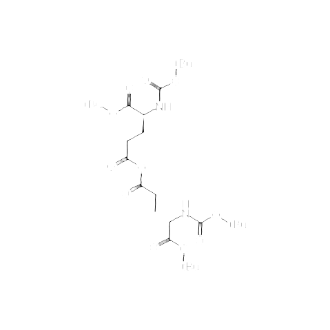 CC(C)(C)OC(=O)N[C@@H](CCC(=O)OC(=O)CC[C@H](NC(=O)OC(C)(C)C)C(=O)OC(C)(C)C)C(=O)OC(C)(C)C